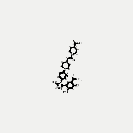 CC(C)c1cc(-c2nnc(O)n2-c2ccc(N3CCN(CC(=O)N4CCC(C(=O)O)CC4)CC3)cc2)c(O)cc1O